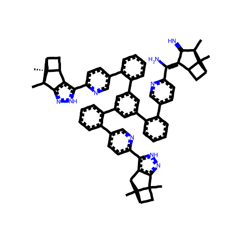 CC12CC3C(c4c1n[nH]c4-c1ccc(-c4ccccc4-c4cc(-c5ccccc5-c5ccc(/C(N)=C6/C(=N)C7(C)C8CC6C87C)nc5)cc(-c5ccccc5-c5ccc(-c6[nH]nc7c6C6CC8C7(C)[C@]68C)nc5)c4)cn1)C32C